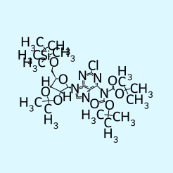 CC(C)(C)OC(=O)N(C(=O)OC(C)(C)C)c1nc(Cl)nc2c1ncn2[C@@H]1O[C@H](CO[Si](C)(C)C(C)(C)C)[C@H]2OC(C)(C)O[C@H]21